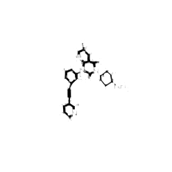 N[C@H]1CC[C@@H](n2c(=O)c3cc(F)cnc3n(-c3cccc(C#Cc4cccnc4)c3)c2=O)CC1